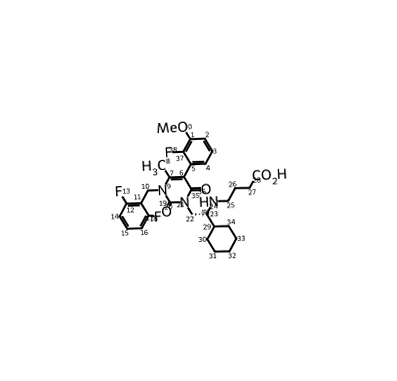 COc1cccc(-c2c(C)n(Cc3c(F)cccc3F)c(=O)n(C[C@H](NCCCC(=O)O)C3CCCCC3)c2=O)c1F